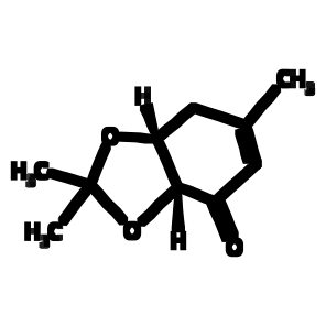 CC1=CC(=O)[C@@H]2OC(C)(C)O[C@@H]2C1